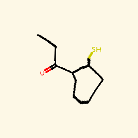 CCC(=O)C1CCCC1S